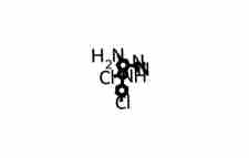 Cn1cnc(-c2cc(N)cc3c(Cl)c(-c4ccc(Cl)cc4)[nH]c23)c1